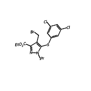 CCOC(=O)c1nn(C(C)C)c(Sc2cc(Cl)cc(Cl)c2)c1CBr